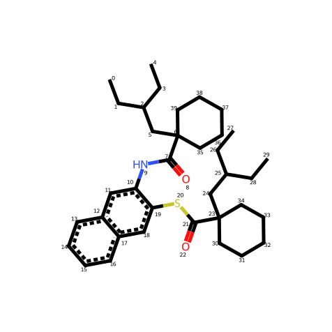 CCC(CC)CC1(C(=O)Nc2cc3ccccc3cc2SC(=O)C2(CC(CC)CC)CCCCC2)CCCCC1